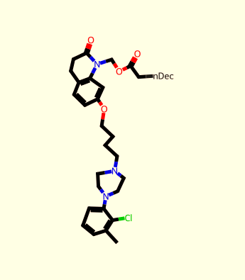 CCCCCCCCCCCC(=O)OCN1C(=O)CCc2ccc(OCCCCN3CCN(c4cccc(C)c4Cl)CC3)cc21